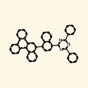 c1ccc(-c2nc(-c3ccccc3)nc(-c3ccc(-c4cc5c6ccccc6c6ccccc6c5c5ccccc45)c4ccccc34)n2)cc1